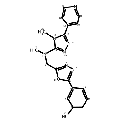 CN(Cc1nnc(C2=CC(C#N)CC=C2)o1)c1nnc(-c2ccncc2)n1C